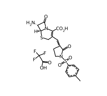 Cc1ccc(S(=O)(=O)N2CCC(=CC3=C(C(=O)O)N4C(=O)[C@@H](N)[C@H]4SC3)C2=O)cc1.O=C(O)C(F)(F)F